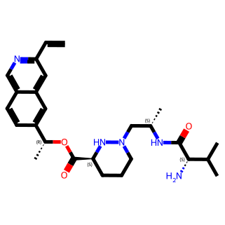 C=Cc1cc2cc([C@@H](C)OC(=O)[C@@H]3CCCN(C[C@H](C)NC(=O)[C@@H](N)C(C)C)N3)ccc2cn1